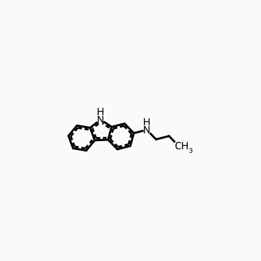 CCCNc1ccc2c(c1)[nH]c1ccccc12